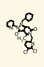 Cc1c2c(=O)n(-c3ccccn3)n(Cc3ccccc3)c2cc(=O)n1Cc1ccc(Cl)c(Cl)n1